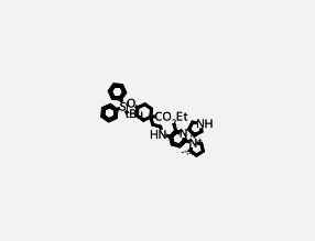 CCOC(=O)C1(CCNc2ccc([N+]3([C@@H]4CCNC4)CCC[C@@H]3C)nc2C)CCC(O[Si](c2ccccc2)(c2ccccc2)C(C)(C)C)CC1